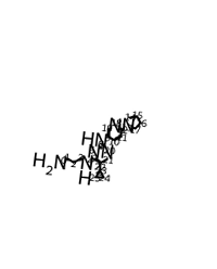 NCCCNc1nc(Nc2ccc(N3CCCC3)nc2)ncc1C1CC1